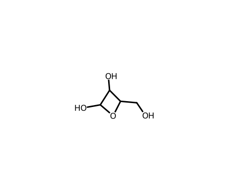 OCC1OC(O)C1O